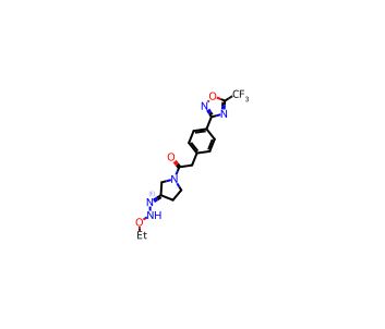 CCON/N=C1\CCN(C(=O)Cc2ccc(-c3noc(C(F)(F)F)n3)cc2)C1